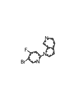 Fc1cc(-n2ccc3ccncc32)ncc1Br